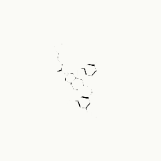 CCCCOCCCC(=O)N1C[C@H]2CO[C@H](O[C@H](C)c3cc(C(F)(F)F)cc(C(F)(F)F)c3)[C@@H](c3ccc(F)cc3C)[C@@H]2C1